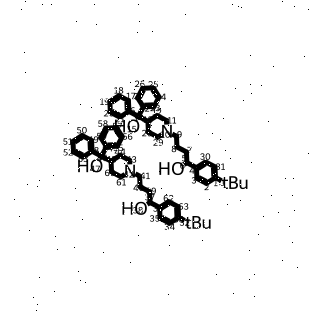 CC(C)(C)c1ccc(C(O)CCCN2CCC(C(O)(c3ccccc3)c3ccccc3)CC2)cc1.CC(C)(C)c1ccc(C(O)CCCN2CCC(C(O)(c3ccccc3)c3ccccc3)CC2)cc1